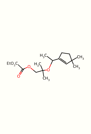 CCOC(=O)C(=O)OCC(C)(C)OC(C)C1=CC(C)(C)CC1